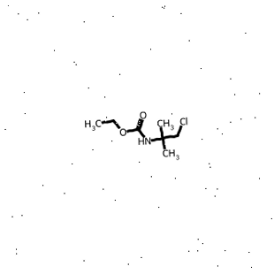 CCOC(=O)NC(C)(C)CCl